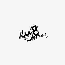 CCc1nc2c(N)nc3ccccc3c2n1CCCCNC